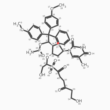 COc1ccc(C(c2ccccc2)(c2ccc(OC)cc2)C(OP(N)O)[C@H]2O[C@@H](n3cc(C)c(=O)[nH]c3=O)C[C@@H]2OC(CO)S(=O)(=O)C(=O)CCC(=O)CCO)cc1